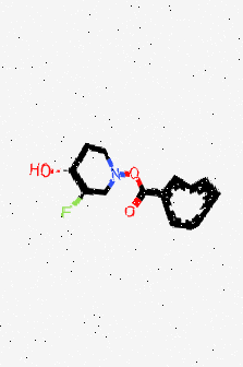 O=C(ON1CC[C@@H](O)[C@H](F)C1)c1ccccc1